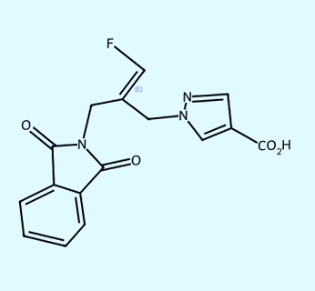 O=C(O)c1cnn(C/C(=C/F)CN2C(=O)c3ccccc3C2=O)c1